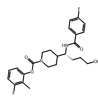 Cc1c(F)cccc1OC(=O)N1CCC([C@@H](CCCO)NC(=O)c2ccc(F)cc2)CC1